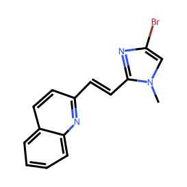 Cn1cc(Br)nc1C=Cc1ccc2ccccc2n1